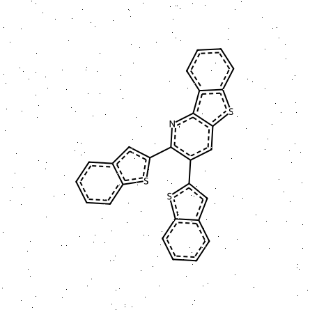 c1ccc2sc(-c3cc4sc5ccccc5c4nc3-c3cc4ccccc4s3)cc2c1